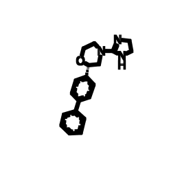 c1ccc(-c2ccc([C@H]3CN(C4=NCCN4)CCO3)cc2)cc1